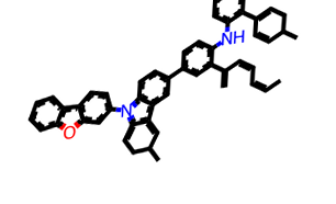 C=C(/C=C\C=C/C)c1cc(-c2ccc3c(c2)c2c(n3-c3ccc4c(c3)oc3ccccc34)=CCC(C)C=2)ccc1Nc1ccccc1C1=CCC(C)C=C1